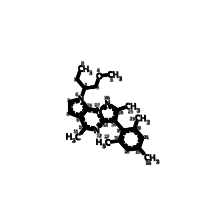 CCC(COC)n1ccc2c(C)nc3c(-c4c(C)cc(C)cc4C)c(C)nn3c21